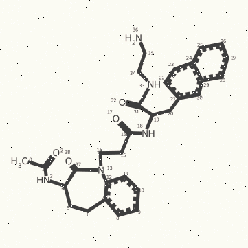 CC(=O)NC1CCc2ccccc2N(CCC(=O)NC(Cc2ccc3ccccc3c2)C(=O)NCCN)C1=O